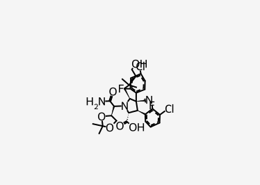 CC(C)(CCO)C[C@@H]1N(C(C(N)=O)[C@H]2COC(C)(C)O2)[C@@H](C(=O)O)[C@H](c2cccc(Cl)c2F)[C@@]1(C#N)c1ccc(Cl)cc1F